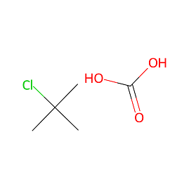 CC(C)(C)Cl.O=C(O)O